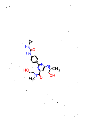 C[C@@H](CO)Nc1cc(C(=O)N(C)CCO)nc(-c2ccc(NC(=O)NC3CC3)cc2)n1